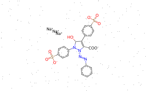 O=C([O-])C1=C(c2ccc(S(=O)(=O)[O-])cc2)C(O)N(c2ccc(S(=O)(=O)[O-])cc2)N1N=Nc1ccccc1.[Na+].[Na+].[Na+]